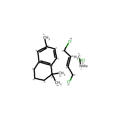 CNC.Cc1ccc2c(c1)CCCC2(C)C.Cl.ClC/C=C/CCl